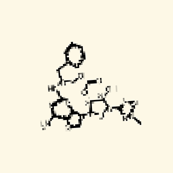 Cn1nnc([C@H]2O[C@@H](n3cnc4c(N)nc(N[C@H](CO)Cc5ccccc5)nc43)[C@H](OC=O)[C@H]2O)n1